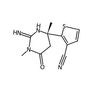 CN1C(=N)N[C@](C)(c2sccc2C#N)CC1=O